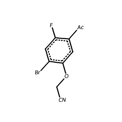 CC(=O)c1cc(OCC#N)c(Br)cc1F